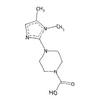 Cc1cnc(N2CCN(C(=O)O)CC2)n1C